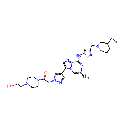 Cc1cn2c(-c3cnn(CC(=O)N4CCN(CCO)CC4)c3)cnc2c(Nc2cc(CN3CCCC(C)C3)ns2)n1